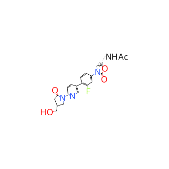 CC(=O)NC[C@H]1CN(c2ccc(-c3ccc(N4CC(CO)CC4=O)nc3)c(F)c2)C(=O)O1